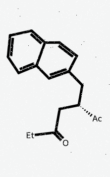 CCC(=O)C[C@H](Cc1ccc2ccccc2c1)C(C)=O